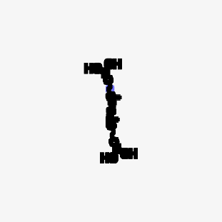 OCCN(CCO)c1ccc(/C=C/c2cc[n+](CCSSCC[N+]3=CCC(CCC4=CCC(N(CCO)CCO)C=C4)C=C3)cc2)cc1